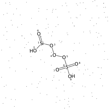 O=[Si](O)OOOS(=O)(=O)O